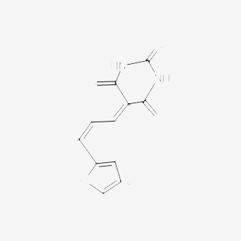 O=C1NC(=S)NC(=O)C1=C/C=C\c1ccco1